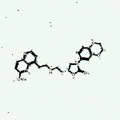 COc1ccc2nccc(CCNCC[C@@H]3CN(c4ccc5c(c4)OCCO5)C(=O)O3)c2n1